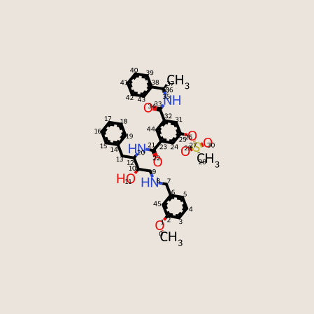 COc1cccc(CNCC(O)C(Cc2ccccc2)NC(=O)c2cc(OS(C)(=O)=O)cc(C(=O)N[C@H](C)c3ccccc3)c2)c1